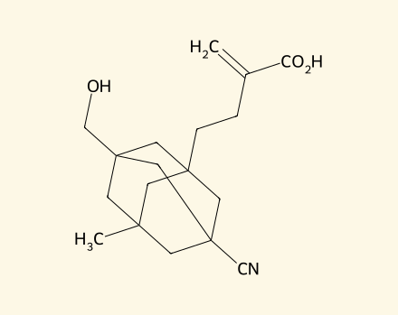 C=C(CCC12CC3(C)CC(C#N)(CC(CO)(C3)C1)C2)C(=O)O